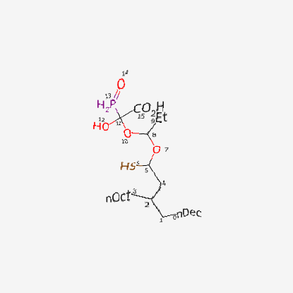 CCCCCCCCCCCC(CCCCCCCC)CC(S)OC(CC)OC(O)([PH2]=O)C(=O)O